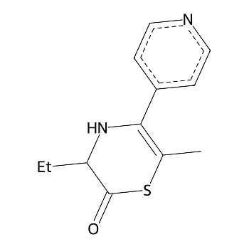 CCC1NC(c2ccncc2)=C(C)SC1=O